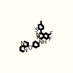 CC1=CC=C(c2nnc(Nc3ccc(Oc4ccnc5cccnc45)cc3)c3cc(F)c(F)cc23)C(=S)C1